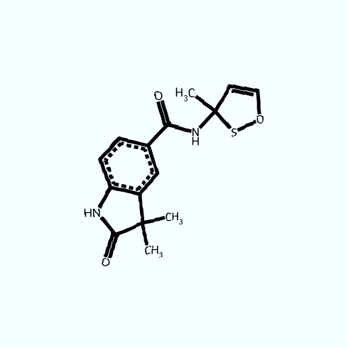 CC1(NC(=O)c2ccc3c(c2)C(C)(C)C(=O)N3)C=COS1